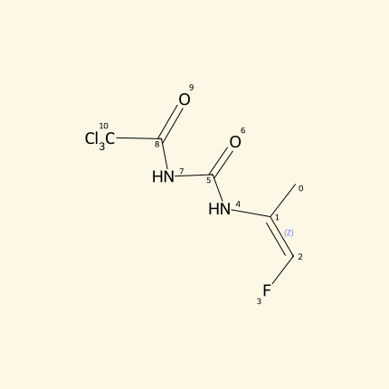 C/C(=C/F)NC(=O)NC(=O)C(Cl)(Cl)Cl